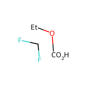 CCOC(=O)O.FCF